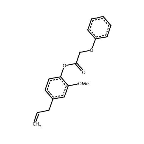 C=CCc1ccc(OC(=O)COc2ccccc2)c(OC)c1